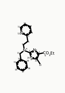 CCOC(=O)c1nc(N(CCc2ccccn2)Cc2ccccc2)sc1C